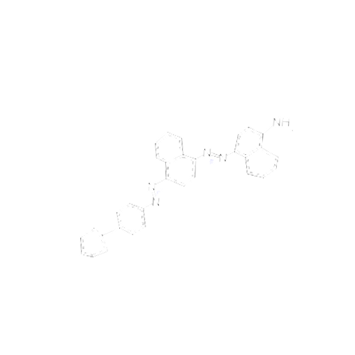 Nc1ccc(/N=N/c2ccc(/N=N/c3ccc(-c4ccccc4)cc3)c3ccccc23)c2ccccc12